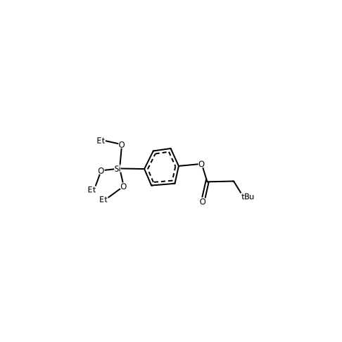 CCO[Si](OCC)(OCC)c1ccc(OC(=O)CC(C)(C)C)cc1